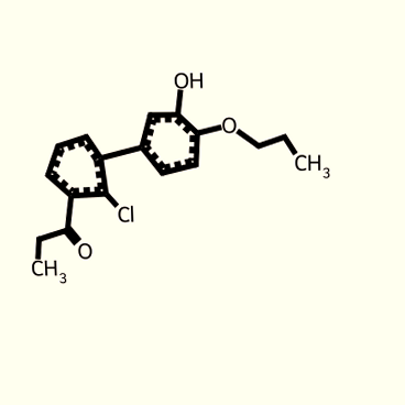 CCCOc1ccc(-c2cccc(C(=O)CC)c2Cl)cc1O